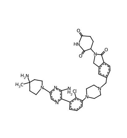 CC1(N)CCN(c2cnc(-c3cccc(N4CCN(Cc5ccc6c(c5)CN(C5CCC(=O)NC5=O)C6=O)CC4)c3Cl)c(N)n2)CC1